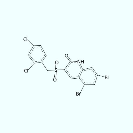 O=c1[nH]c2cc(Br)cc(Br)c2cc1S(=O)(=O)Cc1ccc(Cl)cc1Cl